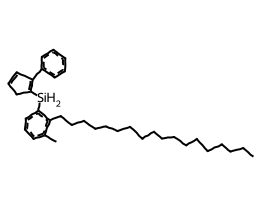 CCCCCCCCCCCCCCCCCCc1c(C)cccc1[SiH2]C1=C(c2ccccc2)C=CC1